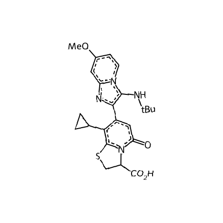 COc1ccn2c(NC(C)(C)C)c(-c3cc(=O)n4c(c3C3CC3)SCC4C(=O)O)nc2c1